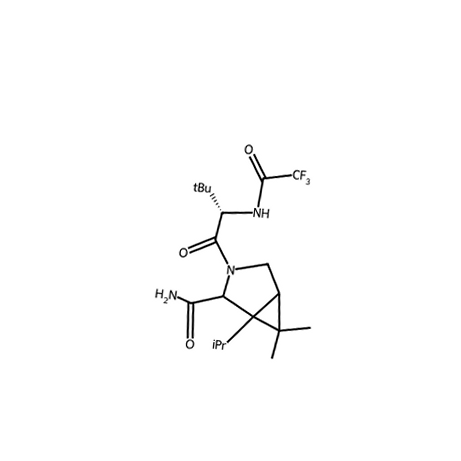 CC(C)C12C(C(N)=O)N(C(=O)[C@@H](NC(=O)C(F)(F)F)C(C)(C)C)CC1C2(C)C